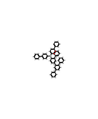 c1ccc(-c2ccc(N(c3ccc(-c4ccccc4)cc3)c3ccc(-c4cc(-c5ccccc5)ccc4-c4ccccc4)cc3-c3ccccc3)cc2)cc1